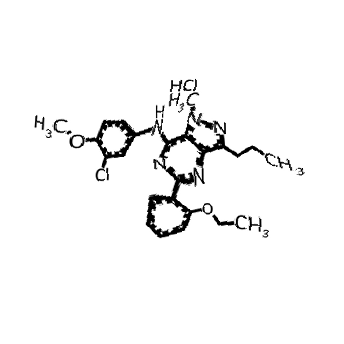 CCCc1nn(C)c2c(Nc3ccc(OC)c(Cl)c3)nc(-c3ccccc3OCC)nc12.Cl